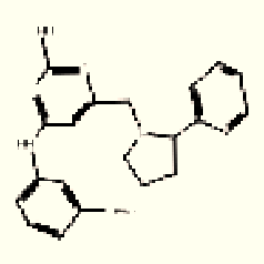 COc1cccc(Nc2cc(CN3CCCC3c3ccccc3)nc(N)n2)c1